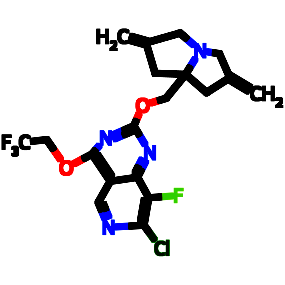 C=C1CN2CC(=C)CC2(COc2nc(OCC(F)(F)F)c3cnc(Cl)c(F)c3n2)C1